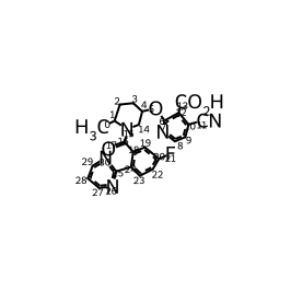 CC1CCC(Oc2nccc(C#N)c2C(=O)O)CN1C(=O)c1cc(F)ccc1-c1ncccn1